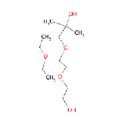 CC(C)(O)COCCOCCO.CCOCC